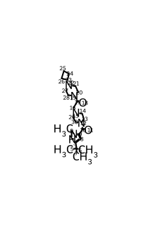 Cn1nc(C(C)(C)C)cc1C(=O)N1CCN(CC(=O)N2CCN(C3CCC3)CC2)CC1